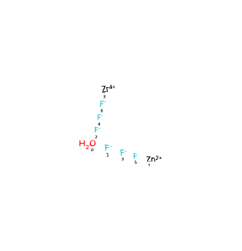 O.[F-].[F-].[F-].[F-].[F-].[F-].[Zn+2].[Zr+4]